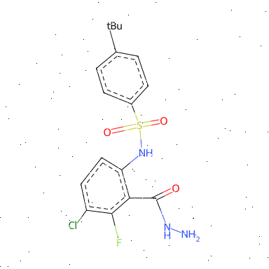 CC(C)(C)c1ccc(S(=O)(=O)Nc2ccc(Cl)c(F)c2C(=O)NN)cc1